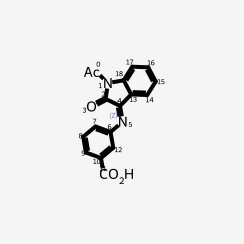 CC(=O)N1C(=O)/C(=N\c2cccc(C(=O)O)c2)c2ccccc21